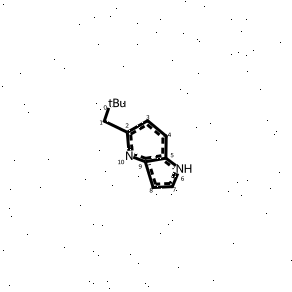 CC(C)(C)Cc1ccc2[nH]ccc2n1